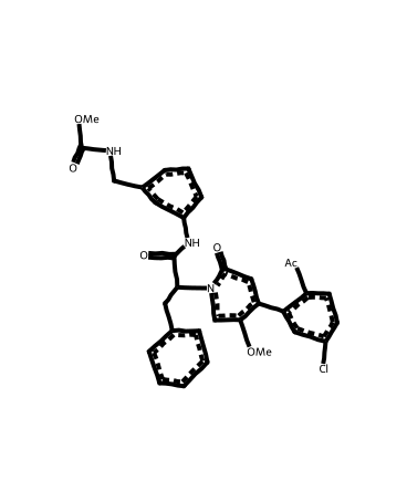 COC(=O)NCc1cccc(NC(=O)C(Cc2ccccc2)n2cc(OC)c(-c3cc(Cl)ccc3C(C)=O)cc2=O)c1